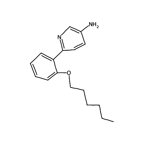 CCCCCCOc1ccccc1-c1ccc(N)cn1